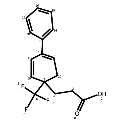 O=C(O)CCC1(C(F)(F)F)C=CC(c2ccccc2)=CC1